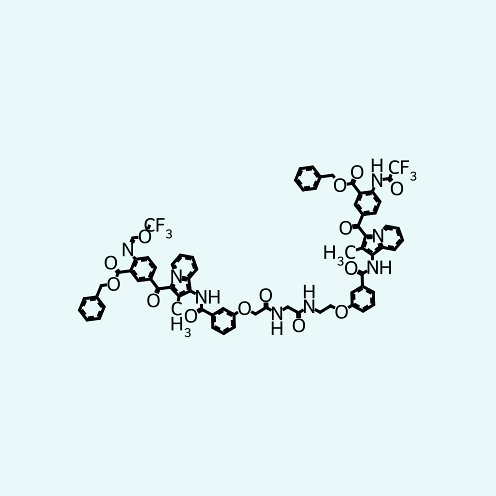 Cc1c(NC(=O)c2cccc(OCC(=O)NCC(=O)NCCOc3cccc(C(=O)Nc4c(C)c(C(=O)c5ccc(NC(=O)C(F)(F)F)c(C(=O)OCc6ccccc6)c5)n5ccccc45)c3)c2)c2ccccn2c1C(=O)c1ccc(/N=C\OC(F)(F)F)c(C(=O)OCc2ccccc2)c1